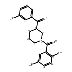 O=C(c1cccc(F)c1)C1CCCN(C(=O)c2cc(F)ccc2F)C1